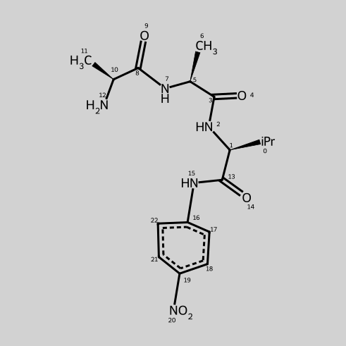 CC(C)[C@H](NC(=O)[C@H](C)NC(=O)[C@H](C)N)C(=O)Nc1ccc([N+](=O)[O-])cc1